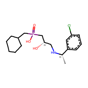 C[C@H](NC[C@H](O)CP(=O)(O)CC1CCCCC1)c1cccc(Cl)c1